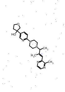 C/C(=C\c1nccnc1C)C(C)N1CCN(c2ccc(C3(O)CCOC3)cn2)CC1